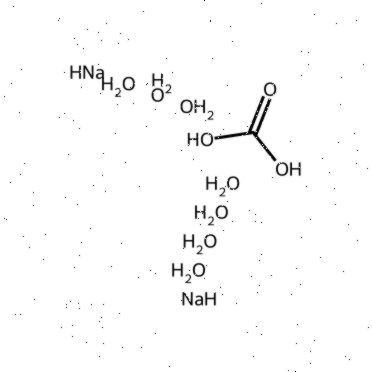 O.O.O.O.O.O.O.O=C(O)O.[NaH].[NaH]